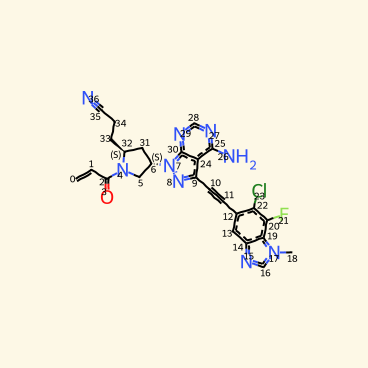 C=CC(=O)N1C[C@@H](n2nc(C#Cc3cc4ncn(C)c4c(F)c3Cl)c3c(N)ncnc32)C[C@@H]1CCC#N